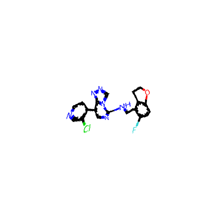 Fc1ccc2c(c1CNc1ncc(-c3ccncc3Cl)c3nncn13)CCO2